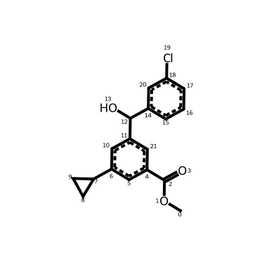 COC(=O)c1cc(C2CC2)cc(C(O)c2cccc(Cl)c2)c1